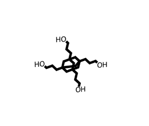 OCCCC12CC3(CCCO)CC(CCCO)(C1)CC(CCCO)(C2)C3